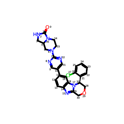 O=C1NCC2CN(c3ncc(-c4ccc5nc6n(c5c4)[C@@H](c4ccccc4Cl)COC6)cn3)CCN12